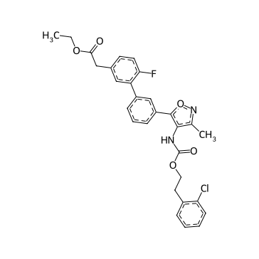 CCOC(=O)Cc1ccc(F)c(-c2cccc(-c3onc(C)c3NC(=O)OCCc3ccccc3Cl)c2)c1